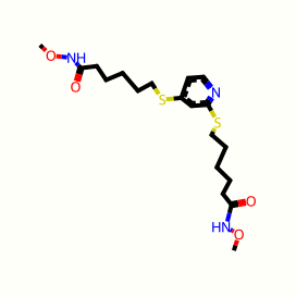 CONC(=O)CCCCCSc1ccnc(SCCCCCC(=O)NOC)c1